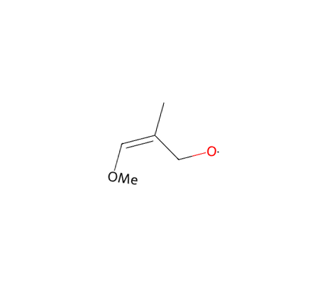 COC=C(C)C[O]